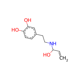 C=CC(O)NCCc1ccc(O)c(O)c1